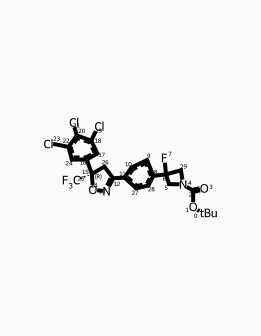 CC(C)(C)OC(=O)N1CC(F)(c2ccc(C3=NO[C@](c4cc(Cl)c(Cl)c(Cl)c4)(C(F)(F)F)C3)cc2)C1